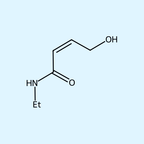 CCNC(=O)/C=C\CO